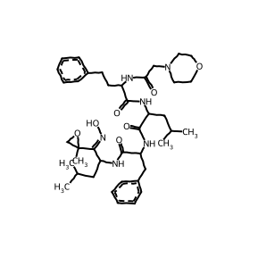 CC(C)CC(NC(=O)C(CCc1ccccc1)NC(=O)CN1CCOCC1)C(=O)NC(Cc1ccccc1)C(=O)NC(CC(C)C)C(=NO)C1(C)CO1